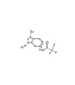 CCc1cn(N)c2cnccc12.O=C(O)C(F)(F)F